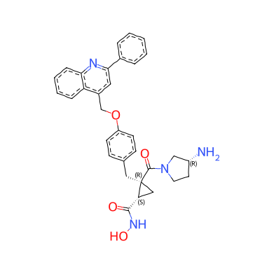 N[C@@H]1CCN(C(=O)[C@@]2(Cc3ccc(OCc4cc(-c5ccccc5)nc5ccccc45)cc3)C[C@@H]2C(=O)NO)C1